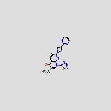 O=C(O)c1cn(-c2ncns2)c2nc(N3CC(c4ncccn4)C3)c(F)cc2c1=O